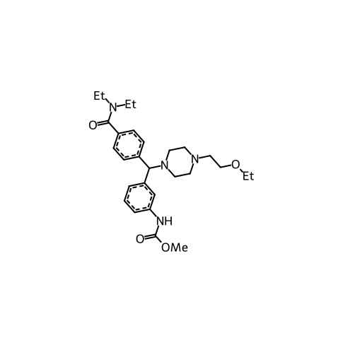 CCOCCN1CCN(C(c2ccc(C(=O)N(CC)CC)cc2)c2cccc(NC(=O)OC)c2)CC1